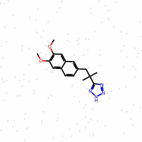 COc1cc2ccc(CC(C)(C)c3nn[nH]n3)cc2cc1OC